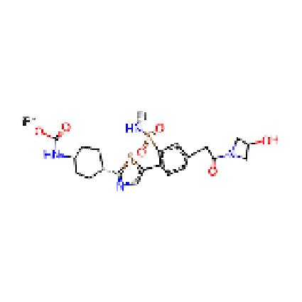 CCNS(=O)(=O)c1cc(CC(=O)N2CC(O)C2)ccc1-c1cnc([C@H]2CC[C@H](NC(=O)OC(C)C)CC2)s1